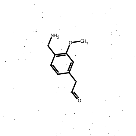 COc1cc(C[C]=O)ccc1CN